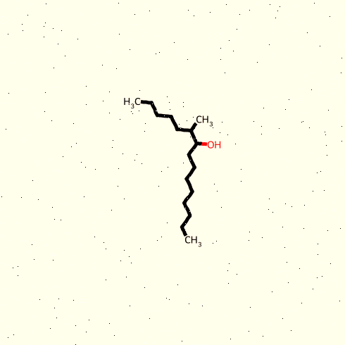 CCCCCCCCC(O)C(C)CCCCC